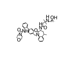 CC1CC(NC(=O)CC(C)(C)NC[C@@H](C)O)C(=O)N(Cc2ccc(-c3ccccc3NC(=O)N3CCOCC3)cc2)c2ccccc21